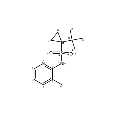 Cc1cccnc1NS(=O)(=O)C1(C(C)(C)C)CC1